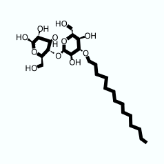 CCCCCCCCCCCCCCO[C@@H]1[C@@H](O)[C@@H](O[C@H]2[C@H](O)[C@@H](O)[C@H](O)O[C@@H]2CO)O[C@H](CO)[C@H]1O